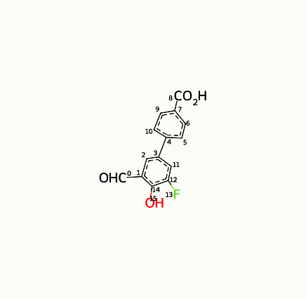 O=Cc1cc(-c2ccc(C(=O)O)cc2)cc(F)c1O